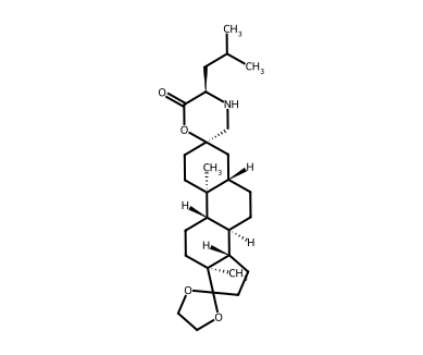 CC(C)C[C@H]1NC[C@]2(CC[C@@]3(C)[C@@H](CC[C@@H]4[C@@H]3CC[C@@]3(C)[C@H]4CCC34OCCO4)C2)OC1=O